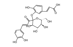 O=C(O)C=Cc1ccc(O)c(OC2(C(=O)C=Cc3ccc(O)c(O)c3)O[C@H](CO)[C@@H](O)[C@H](O)[C@H]2O)c1